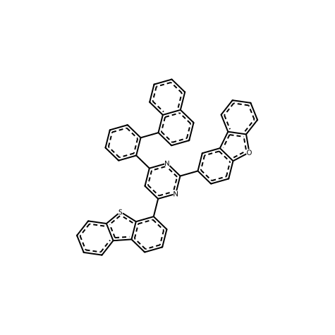 c1ccc(-c2cccc3ccccc23)c(-c2cc(-c3cccc4c3sc3ccccc34)nc(-c3ccc4oc5ccccc5c4c3)n2)c1